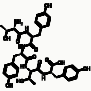 C[C@@H](O)[C@H](N)C(=O)N[C@@H](Cc1ccc(O)cc1)C(=O)N[C@@H](Cc1ccc(O)cc1)C(=O)N[C@H](C(=O)N[C@@H](Cc1ccc(O)cc1)C(=O)O)[C@@H](C)O